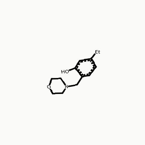 CCc1ccc(CN2CCOCC2)c(O)c1